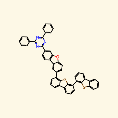 c1ccc(-c2nc(-c3ccccc3)nc(-c3ccc4c(c3)oc3ccc(-c5cccc6c5sc5c(-c7cccc8c7sc7ccccc78)cccc56)cc34)n2)cc1